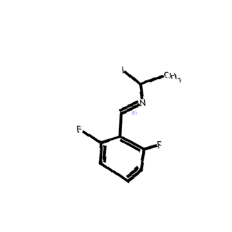 CC(I)/N=C/c1c(F)cccc1F